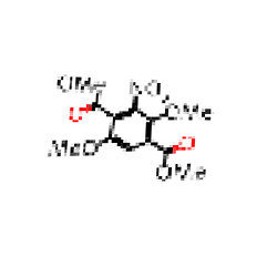 COC(=O)c1cc(OC)c(C(=O)OC)c([N+](=O)[O-])c1OC